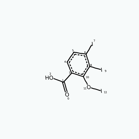 O=C(O)c1ccc(I)c(I)c1OI